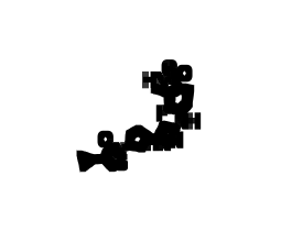 O=c1c(C2CC2)csn1[C@H]1CC[C@@H](c2cc(Nc3ccc4c(c3F)CNS4(=O)=O)n[nH]2)C1